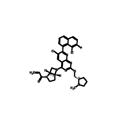 C=CC(=O)N1CC[C@@H]2[C@H]1CN2c1nc(OC[C@@H]2CCCN2C)nc2nc(-c3cccc4ccc(F)c(Cl)c34)c(Cl)cc12